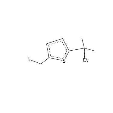 CCC(C)(C)c1ccc(CI)s1